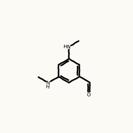 CNc1cc(C=O)cc(NC)c1